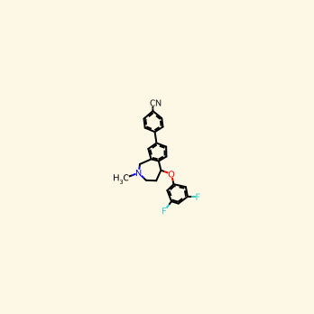 CN1CCC(Oc2cc(F)cc(F)c2)c2ccc(-c3ccc(C#N)cc3)cc2C1